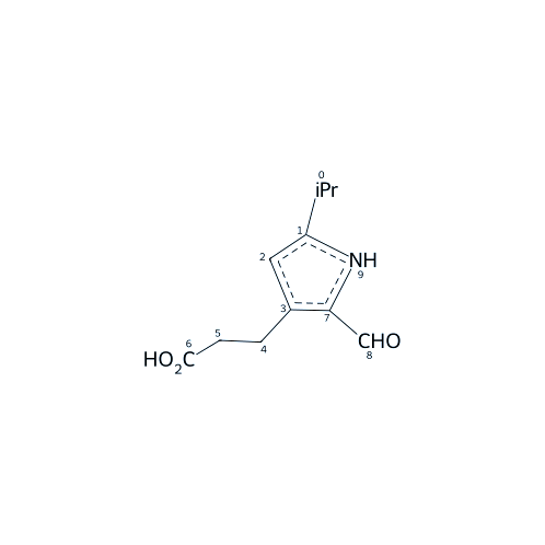 CC(C)c1cc(CCC(=O)O)c(C=O)[nH]1